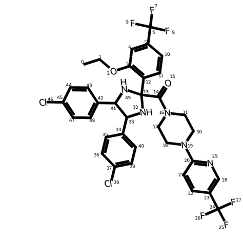 CCOc1cc(C(F)(F)F)ccc1C1(C(=O)N2CCN(c3ccc(C(F)(F)F)cn3)CC2)NC(c2ccc(Cl)cc2)C(c2ccc(Cl)cc2)N1